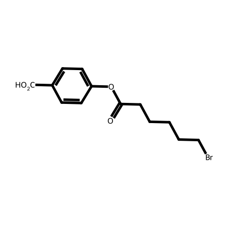 O=C(CCCCCBr)Oc1ccc(C(=O)O)cc1